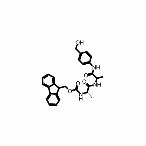 CC(NC(=O)[C@H](C)NC(=O)OCC1c2ccccc2-c2ccccc21)C(=O)Nc1ccc(CO)cc1